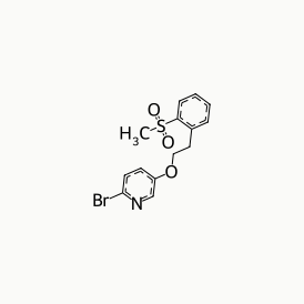 CS(=O)(=O)c1ccccc1CCOc1ccc(Br)nc1